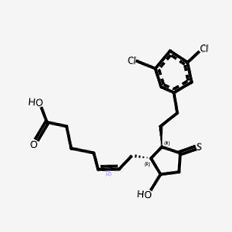 O=C(O)CCC/C=C\C[C@H]1C(O)CC(=S)[C@@H]1CCc1cc(Cl)cc(Cl)c1